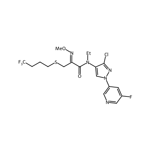 CCN(C(=O)C(CSCCCC(F)(F)F)=NOC)c1cn(-c2cncc(F)c2)nc1Cl